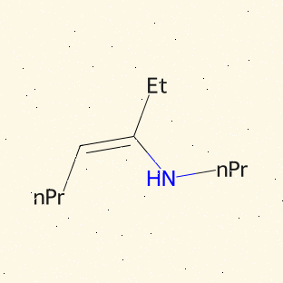 CCCC=C(CC)NCCC